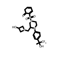 CC(O)(c1ccc(N2CCN(S(=O)(=O)C3=CC=CCC3=S)CC2CN2CC(O)C2)cc1)C(F)(F)F